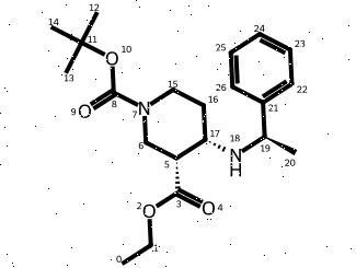 CCOC(=O)[C@@H]1CN(C(=O)OC(C)(C)C)CC[C@@H]1N[C@H](C)c1ccccc1